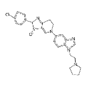 [O-][S+]1C2=CN(c3ccc4c(c3)ncn4CCN3CCCC3)CCC2=NC1c1ccc(Cl)cc1